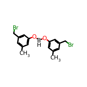 Cc1cc(CBr)cc(OBOc2cc(C)cc(CBr)c2)c1